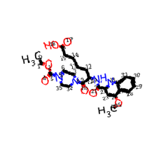 CCOC(=O)N1CCN(C(=O)C(CCCCC(=O)O)NC(=O)c2cc(OC)c3ccccc3n2)CC1